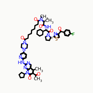 CC(=O)c1c(C)c2cnc(Nc3ccc(N4CCN(C(=O)CCCCCCCC(=O)N(C)[C@@H](C)C(=O)N[C@H](C(=O)N5CCC[C@H]5c5nc(C(=O)c6ccc(F)cc6)cs5)C5CCCCC5)CC4)cn3)nc2n(C2CCCC2)c1=O